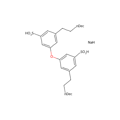 CCCCCCCCCCCCc1cc(Oc2cc(CCCCCCCCCCCC)cc(S(=O)(=O)O)c2)cc(S(=O)(=O)O)c1.[NaH]